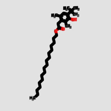 CCCCCCCCCCCCCCCCCCOC(=O)Cc1c(C)cc(C(C)(C)C)c(O)c1C